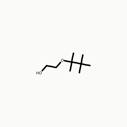 CC(C)(C)C(C)(C)OCCO